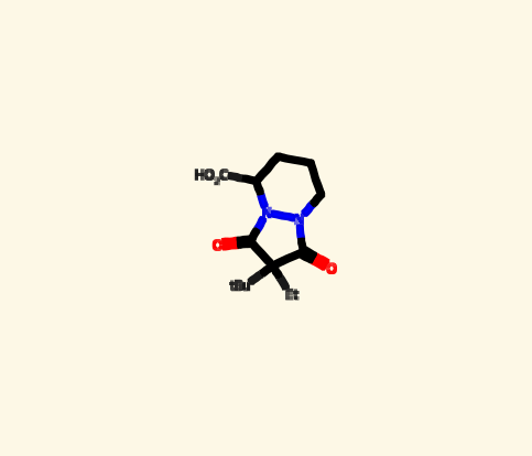 CCC1(C(C)(C)C)C(=O)N2CCCC(C(=O)O)N2C1=O